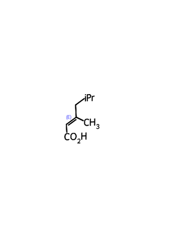 C/C(=C\C(=O)O)CC(C)C